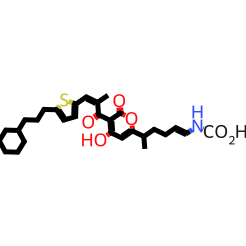 CC(=Cc1ccc(CCCC2CCCCC2)s1)C(=O)c1c(O)cc(C(C)CCC=CNC(=O)O)oc1=O